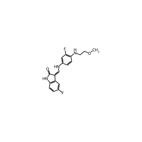 COCCNc1ccc(NC=C2C(=O)Nc3ccc(F)cc32)cc1F